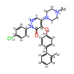 CC(=O)N1CCN(c2cnn(-c3ccc(Cl)cc3)c(=O)c2Oc2ccc(-c3ccccc3C)cc2)CC1